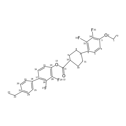 CCOc1ccc(C2CCC(C(=O)Oc3ccc(-c4ccc(CC)cc4)c(F)c3F)CC2)c(F)c1F